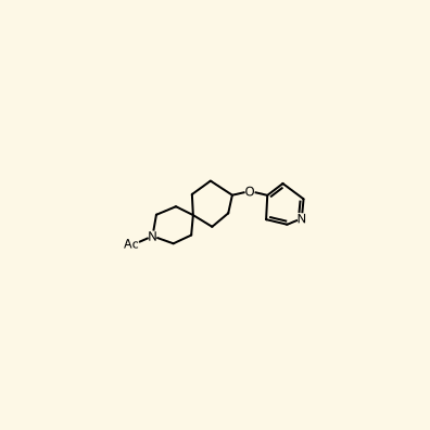 CC(=O)N1CCC2(CCC(Oc3ccncc3)CC2)CC1